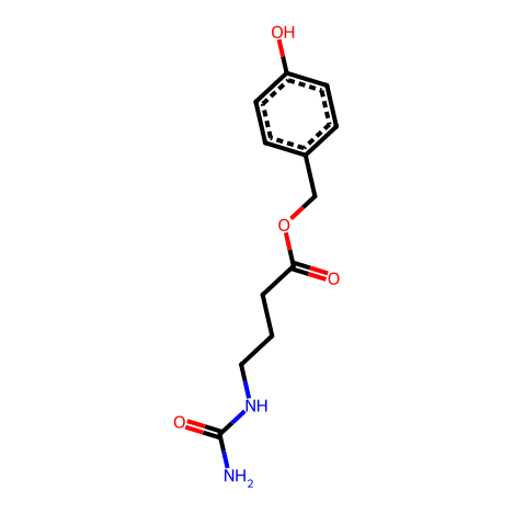 NC(=O)NCCCC(=O)OCc1ccc(O)cc1